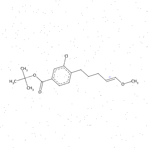 CO/C=C/CCCc1ccc(C(=O)OC(C)(C)C)cc1Cl